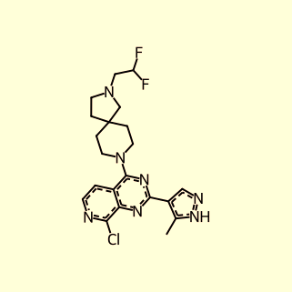 Cc1[nH]ncc1-c1nc(N2CCC3(CCN(CC(F)F)C3)CC2)c2ccnc(Cl)c2n1